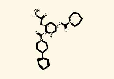 O=C(C[C@@H]1C[C@H](OC(=O)N2CCCCCC2)CN[C@@H]1C(=O)N1CCC(c2ccccc2)CC1)NO